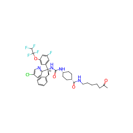 CC(=O)CCCCCNC(=O)[C@H]1CC[C@@H](NC(=O)N[C@@](Cc2ccccc2)(c2cc(F)cc(OC(F)(F)C(F)F)c2)c2ccc(Cl)cn2)CC1